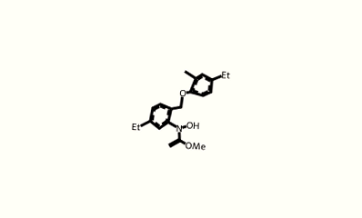 C=C(OC)N(O)c1cc(CC)ccc1COc1ccc(CC)cc1C